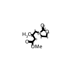 COC(=O)CC(C)CN1CCOC1=O